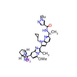 COc1cc(C(=O)N2[C@H]3CC[C@@H]2[C@H](N)C3)cc2nc(-c3cc4ccc([C@@H](C)NC(=O)c5cnn(C(C)(C)C)c5)nc4n3CC3CC3)c(C)n12